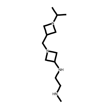 CNCCNC1CN(CC2CN(C(C)C)C2)C1